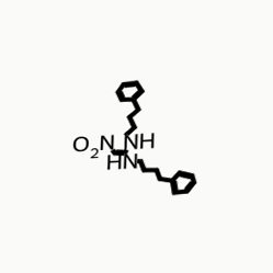 O=[N+]([O-])C=C(NCCCCc1ccccc1)NCCCCc1ccccc1